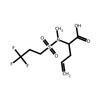 C=CCC(C(=O)O)N(C)S(=O)(=O)CCC(F)(F)F